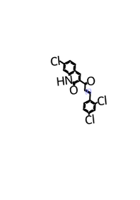 O=C(/C=C/c1ccc(Cl)cc1Cl)c1cc2ccc(Cl)cc2[nH]c1=O